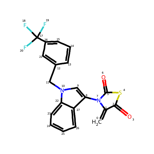 C=C1C(=O)SC(=O)N1c1cn(Cc2cccc(C(F)(F)F)c2)c2ccccc12